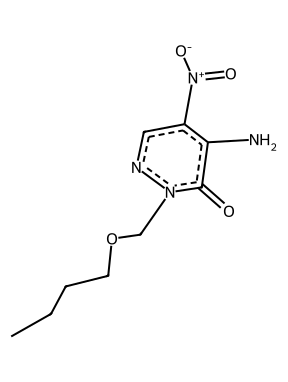 CCCCOCn1ncc([N+](=O)[O-])c(N)c1=O